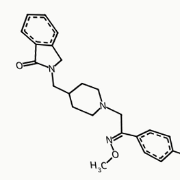 CON=C(CN1CCC(CN2Cc3ccccc3C2=O)CC1)c1ccc(F)cc1